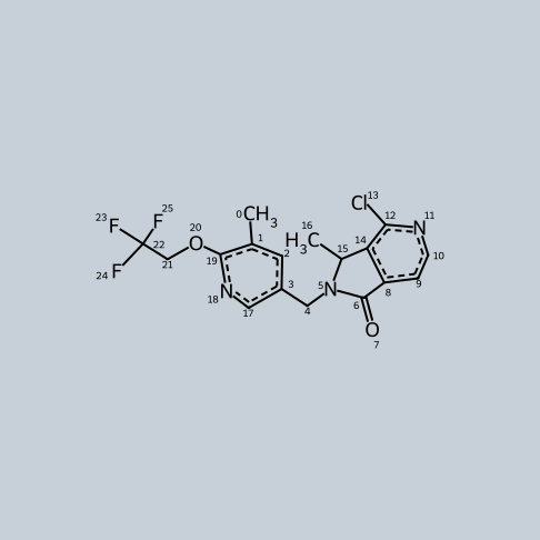 Cc1cc(CN2C(=O)c3ccnc(Cl)c3C2C)cnc1OCC(F)(F)F